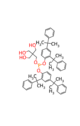 CC(C)(c1ccccc1)c1ccc(OP(OCC(CO)(CO)CO)Oc2ccc(C(C)(C)c3ccccc3)cc2C(C)(C)c2ccccc2)c(C(C)(C)c2ccccc2)c1